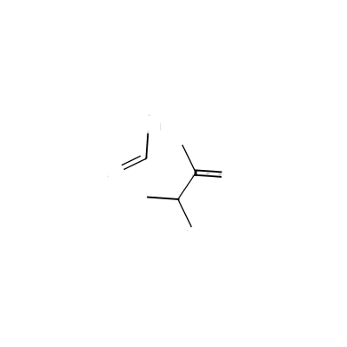 CC(=O)C(C)C.O=CO